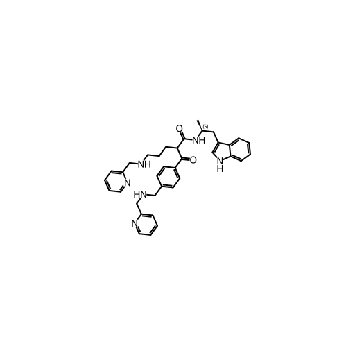 C[C@@H](Cc1c[nH]c2ccccc12)NC(=O)C(CCCNCc1ccccn1)C(=O)c1ccc(CNCc2ccccn2)cc1